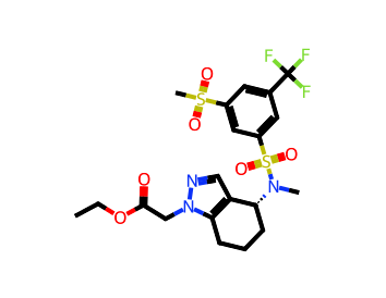 CCOC(=O)Cn1ncc2c1CCC[C@H]2N(C)S(=O)(=O)c1cc(C(F)(F)F)cc(S(C)(=O)=O)c1